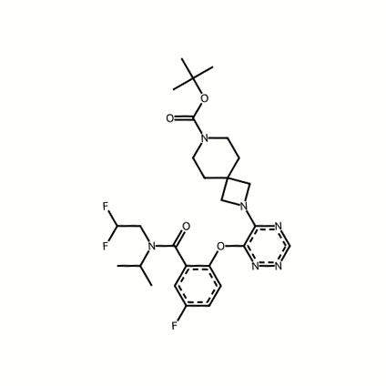 CC(C)N(CC(F)F)C(=O)c1cc(F)ccc1Oc1nncnc1N1CC2(CCN(C(=O)OC(C)(C)C)CC2)C1